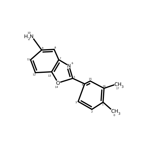 Cc1ccc(-c2nc3cc(N)ccc3o2)cc1C